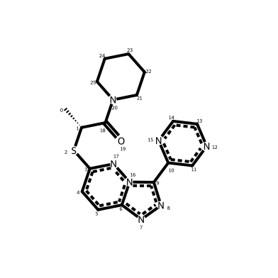 C[C@@H](Sc1ccc2nnc(-c3cnccn3)n2n1)C(=O)N1CCCCC1